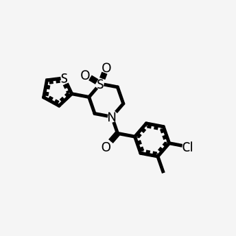 Cc1cc(C(=O)N2CCS(=O)(=O)C(c3cccs3)C2)ccc1Cl